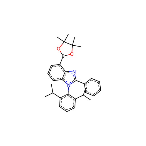 CC(C)c1cccc(C(C)C)c1-n1c(-c2ccccc2)nc2c(B3OC(C)(C)C(C)(C)O3)cccc21